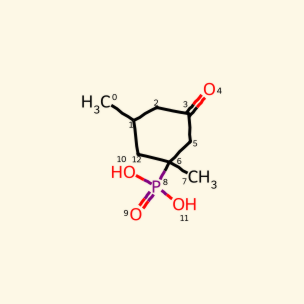 CC1CC(=O)CC(C)(P(=O)(O)O)C1